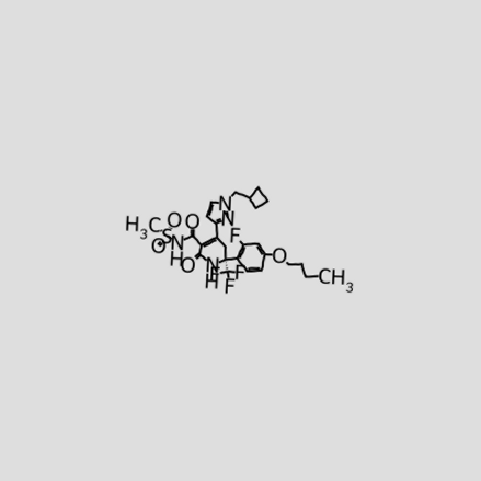 CCCCOc1ccc([C@]2(C(F)(F)F)CC(c3ccn(CC4CCC4)n3)=C(C(=O)NS(C)(=O)=O)C(=O)N2)c(F)c1